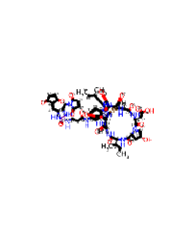 CCC(C)[C@@H]1NC(=O)[C@@H]2C[C@@H](O)CN2C(=O)[C@H](CC(=O)O)NC(=O)[C@@H]2CSc3[nH]c4ccc(NC(=O)CCNP(=O)(NCCC5C(=O)C=CC5=O)NCCN5C(=O)C=CC5=O)cc4c3C[C@H](NC1=O)C(=O)NCC(=O)NC[C@@H]([C@@H](C)CC)C(=O)NCC(=O)N2